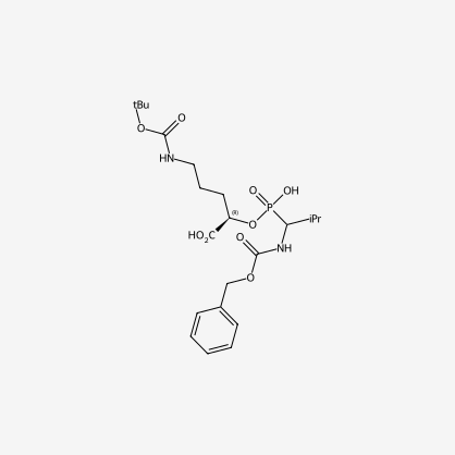 CC(C)C(NC(=O)OCc1ccccc1)P(=O)(O)O[C@H](CCCNC(=O)OC(C)(C)C)C(=O)O